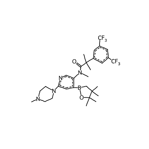 CN1CCN(c2cc(B3CC(C)(C)C(C)(C)O3)c(N(C)C(=O)C(C)(C)c3cc(C(F)(F)F)cc(C(F)(F)F)c3)cn2)CC1